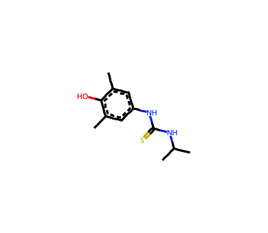 Cc1cc(NC(=S)NC(C)C)cc(C)c1O